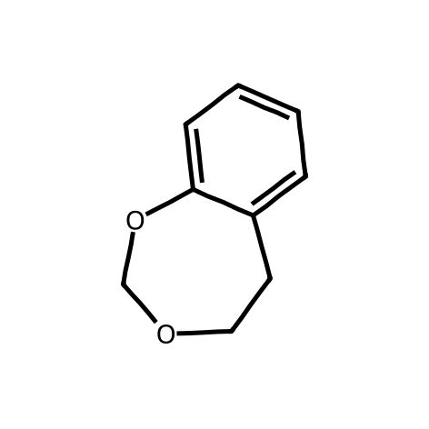 c1ccc2c(c1)CCOCO2